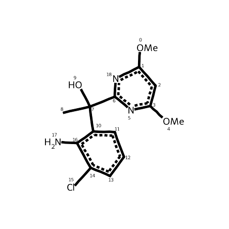 COc1cc(OC)nc(C(C)(O)c2cccc(Cl)c2N)n1